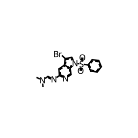 CN(C)C=Nc1cc2c(Br)cn(S(=O)(=O)c3ccccc3)c2cn1